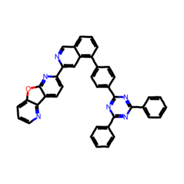 c1ccc(-c2nc(-c3ccccc3)nc(-c3ccc(-c4cccc5cnc(-c6ccc7c(n6)oc6cccnc67)cc45)cc3)n2)cc1